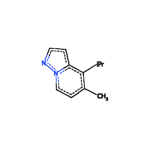 Cc1ccn2nccc2c1C(C)C